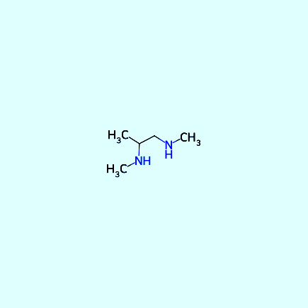 CNCC(C)NC